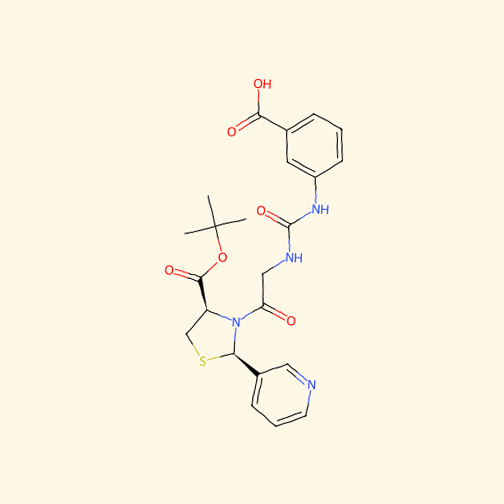 CC(C)(C)OC(=O)[C@@H]1CS[C@H](c2cccnc2)N1C(=O)CNC(=O)Nc1cccc(C(=O)O)c1